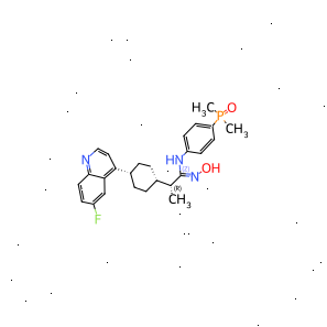 C[C@@H](/C(=N/O)Nc1ccc(P(C)(C)=O)cc1)[C@H]1CC[C@@H](c2ccnc3ccc(F)cc32)CC1